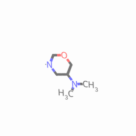 CN(C)C1C[N]COC1